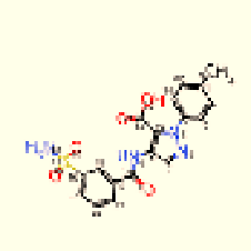 Cc1ccc(-n2ncc(NC(=O)c3cccc(S(N)(=O)=O)c3)c2C(=O)O)cc1